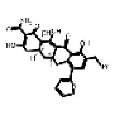 CC(C)Cc1cc(-c2ccccn2)c2c(c1O)C(=O)C1=C(O)[C@]3(O)C(=O)C(C(N)=O)=C(O)C[C@@H]3C[C@@H]1C2